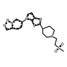 CS(=O)(=O)CCN1CCC(c2nc3ccn(-c4ccc5cnnn5c4)c3s2)CC1